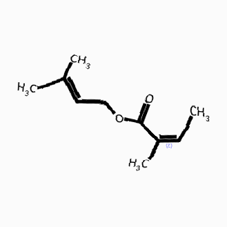 C/C=C(/C)C(=O)OCC=C(C)C